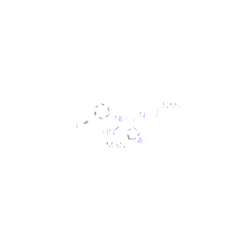 C#Cc1cccc(NC(=N)c2c(CN3CCC(NC)CC3)c[nH]c2NC)c1